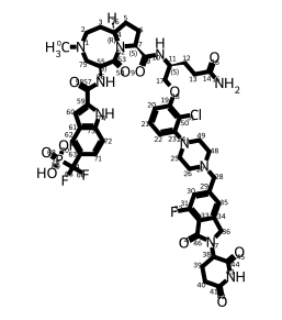 CN1CC[C@H]2CC[C@@H](C(=O)N[C@@H](CCC(N)=O)COc3cccc(N4CCN(Cc5cc(F)c6c(c5)CN(C5CCC(=O)NC5=O)C6=O)CC4)c3Cl)N2C(=O)[C@@H](NC(=O)c2cc3cc(C(F)(F)P(=O)(O)O)ccc3[nH]2)C1